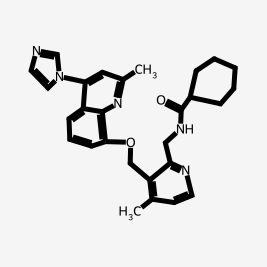 Cc1cc(-n2ccnc2)c2cccc(OCc3c(C)ccnc3CNC(=O)C3CCCCC3)c2n1